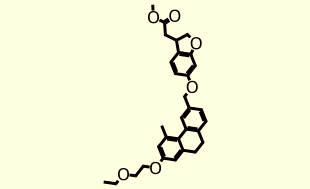 CCOCCOc1cc(C)c2c(c1)CCc1ccc(COc3ccc4c(c3)OCC4CC(=O)OC)cc1-2